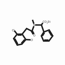 CCOC(=O)C(c1ccccc1)N(C)C(=O)Cc1c(Cl)cccc1Cl